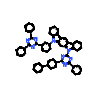 c1ccc(-c2ccc(-c3nc(-c4ccccc4)nc(-n4c5ccccc5c5cc6c7ccccc7n(-c7cccc(-c8nc(-c9ccccc9)nc(-c9ccccc9)n8)c7)c6cc54)n3)cc2)cc1